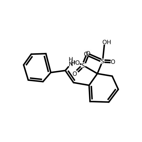 NC(=CC1=CC=CCC1(S(=O)(=O)O)S(=O)(=O)O)c1ccccc1